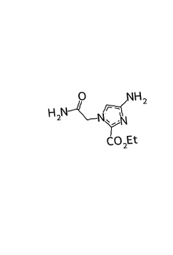 CCOC(=O)c1nc(N)cn1CC(N)=O